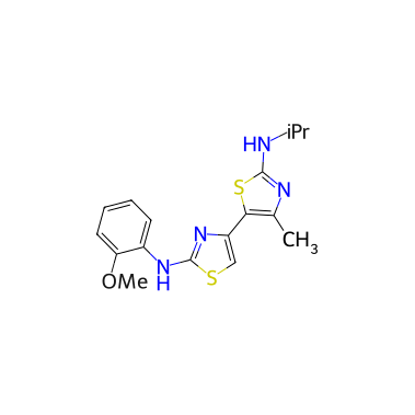 COc1ccccc1Nc1nc(-c2sc(NC(C)C)nc2C)cs1